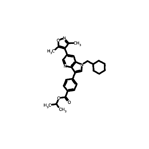 Cc1noc(C)c1-c1cnc2c(-c3ccc(C(=O)OC(C)C)cc3)cn(CC3CCCCC3)c2c1